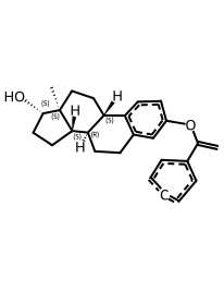 C=C(Oc1ccc2c(c1)CC[C@@H]1[C@@H]2CC[C@]2(C)[C@@H](O)CC[C@@H]12)c1ccccc1